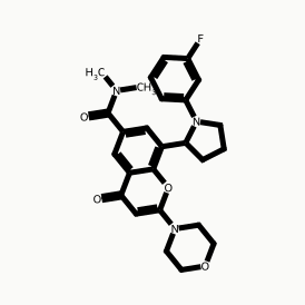 CN(C)C(=O)c1cc(C2CCCN2c2cccc(F)c2)c2oc(N3CCOCC3)cc(=O)c2c1